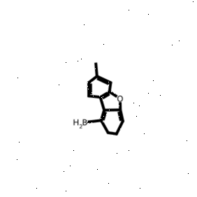 BC1=c2c(oc3cc(C)ccc23)=CCC1